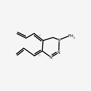 C=C/C=C1/CN(P)N=N/C1=C/C=C